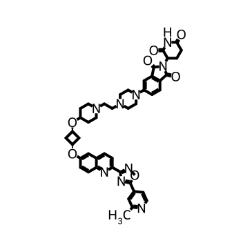 Cc1cc(-c2nc(-c3ccc4cc(O[C@H]5C[C@H](OC6CCN(CCN7CCN(c8ccc9c(c8)C(=O)N(C8CCC(=O)NC8=O)C9=O)CC7)CC6)C5)ccc4n3)no2)ccn1